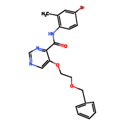 Cc1cc(Br)ccc1NC(=O)c1ncncc1OCCOCc1ccccc1